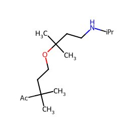 CC(=O)C(C)(C)CCOC(C)(C)CCNC(C)C